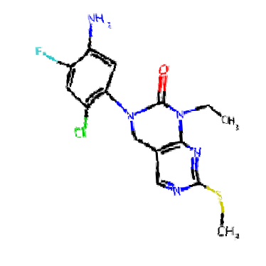 CCN1C(=O)N(c2cc(N)c(F)cc2Cl)Cc2cnc(SC)nc21